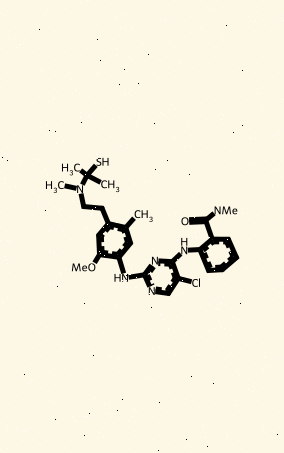 CNC(=O)c1ccccc1Nc1nc(Nc2cc(C)c(CCN(C)C(C)(C)S)cc2OC)ncc1Cl